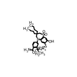 CCCCC1(CCCC)CN(c2ccc(C(N)=O)c(C(C)(C)C)c2)c2cc(SC)c(O)cc2S(=O)(=O)C1